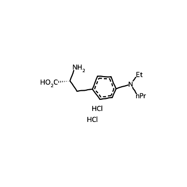 CCCN(CC)c1ccc(C[C@@H](N)C(=O)O)cc1.Cl.Cl